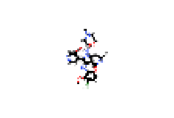 COc1c(Cl)cccc1Nc1c(-c2ccncc2OC[C@@H]2CN(C)CCO2)[nH]c2c1C(=O)N[C@H](C)C2